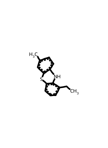 CCc1cccc2c1Nc1ccc(C)cc1S2